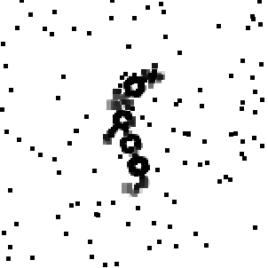 COc1ccc(N2CCN(c3ncc(NS(=O)(=O)c4ccc(OC(F)(F)F)cc4)cc3C#N)CC2)cc1